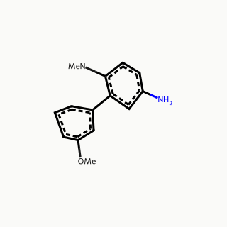 CNc1ccc(N)cc1-c1cccc(OC)c1